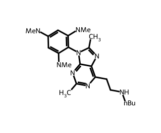 CCCCNCCc1nc(C)nc2c1nc(C)n2-c1c(NC)cc(NC)cc1NC